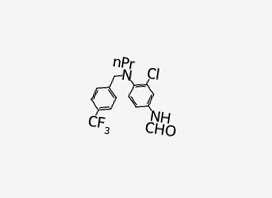 CCCN(Cc1ccc(C(F)(F)F)cc1)c1ccc(NC=O)cc1Cl